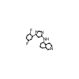 Fc1ccc(F)c(-c2cc(Nc3cccc4cnccc34)ncn2)c1